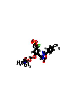 CS(=O)(=O)[O-].C[N+](C)(C)CC(=O)OCOc1ccc(Cl)cc1Cn1nc(-c2ccc(C(F)(F)F)cc2)oc1=O